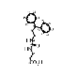 O=C(O)CCNC(=O)NCCC(c1ccccc1)c1ccccc1